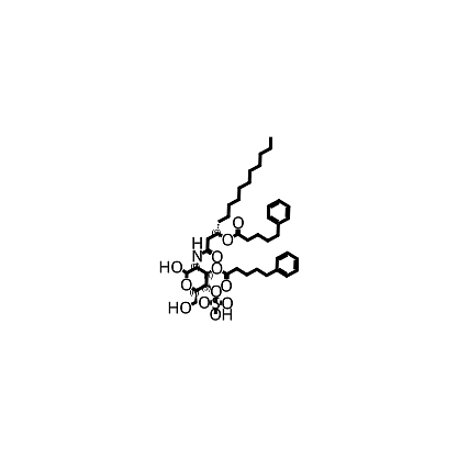 CCCCCCCCCCC[C@@H](CC(=O)N[C@H]1C(O)O[C@H](CO)[C@@H](OS(=O)(=O)O)[C@@H]1OC(=O)CCCCc1ccccc1)OC(=O)CCCCc1ccccc1